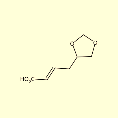 O=C(O)C=CCC1COCO1